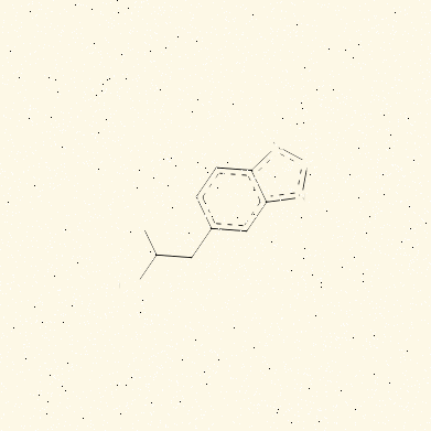 CCCC(CC)Cc1ccc2nsnc2c1